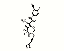 Cn1cc2c(c1C(=O)Nc1ccc(F)c(C#N)c1)OCC(CC#CC1COC1)NS2(=O)=O